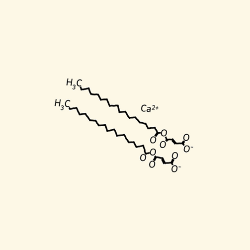 CCCCCCCCCCCCCCCCCC(=O)OC(=O)/C=C/C(=O)[O-].CCCCCCCCCCCCCCCCCC(=O)OC(=O)/C=C/C(=O)[O-].[Ca+2]